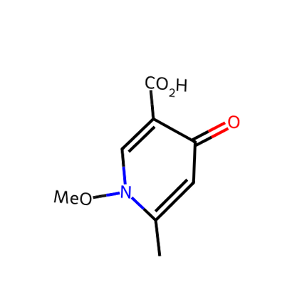 COn1cc(C(=O)O)c(=O)cc1C